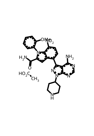 CC(=O)O.COc1ccccc1-n1c(C(N)=O)cc2c(-c3nn(C4CCNCC4)c4ncnc(N)c34)ccc([N+](=O)[O-])c21